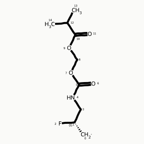 [CH2][C@H](F)CNC(=O)OCOC(=O)C(C)C